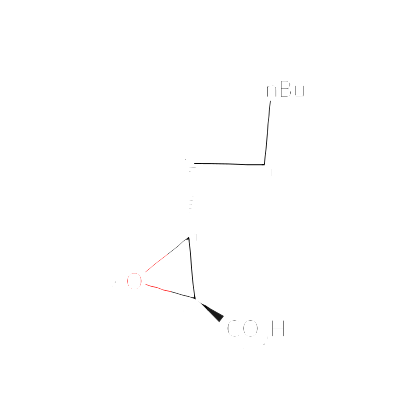 CCCCCC[C@H]1O[C@@H]1C(=O)O